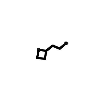 [O]CCC1CCO1